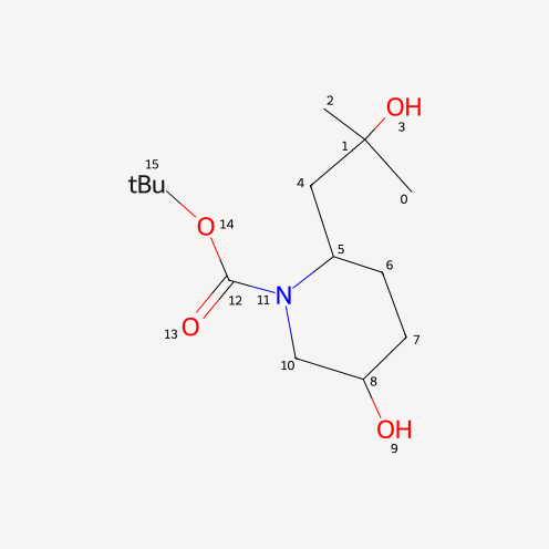 CC(C)(O)CC1CCC(O)CN1C(=O)OC(C)(C)C